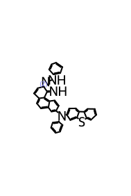 N=C1/C(=N\Nc2ccccc2)C=Cc2ccc3cc(N(c4ccccc4)c4ccc5c(c4)sc4ccccc45)ccc3c21